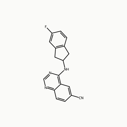 N#Cc1ccc2ncnc(NC3Cc4ccc(F)cc4C3)c2c1